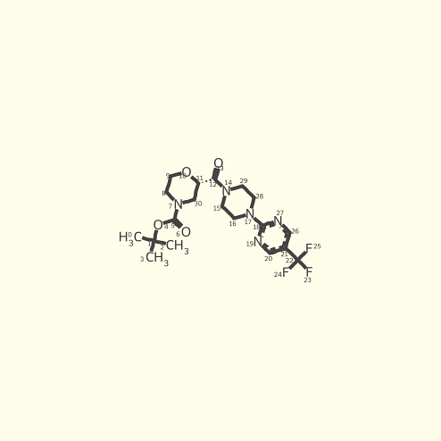 CC(C)(C)OC(=O)N1CCO[C@H](C(=O)N2CCN(c3ncc(C(F)(F)F)cn3)CC2)C1